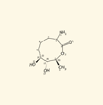 C[C@@H]1OC(=O)C(N)CCC[C@H](O)[C@H]1O